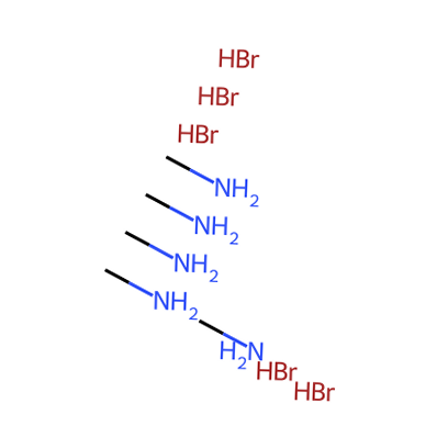 Br.Br.Br.Br.Br.CN.CN.CN.CN.CN